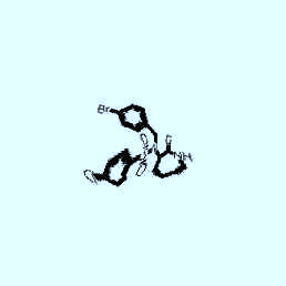 O=C1NCCCCC1N(Cc1ccc(Br)cc1)S(=O)(=O)c1ccc(Cl)cc1